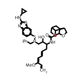 C=C/C(=C\C=C\CC(NC(=O)OC1C2COC3OCC1C3C2)C(O)CN(CC(C)C)Sc1ccc2nc(NC3CC3)sc2c1)OC